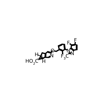 Cc1c(COc2cc3c(cn2)[C@H]2[C@@H](C3)[C@@H]2C(=O)O)cccc1-n1c(C(F)(F)F)nc2ccc(F)c(F)c21